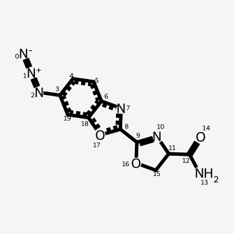 [N-]=[N+]=Nc1ccc2nc(C3=NC(C(N)=O)CO3)oc2c1